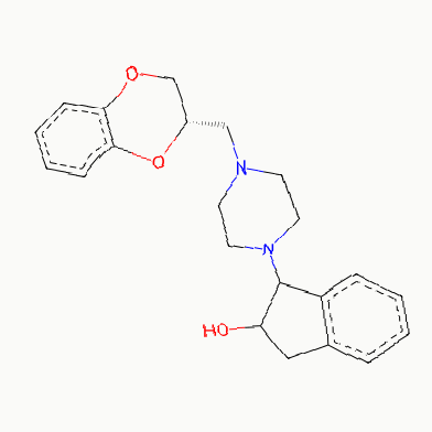 OC1Cc2ccccc2C1N1CCN(C[C@H]2COc3ccccc3O2)CC1